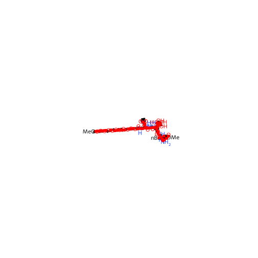 CCCCc1nc2c(N)nc3cc(C(=O)OC)ccc3c2n1CCNC(=O)OCc1ccc(O[C@H]2O[C@H](CO)[C@@H](O)[C@H](O)[C@@H]2O)c(NC(=O)CCNC(=O)[C@H](CCCCNC(=O)CCOCCOCCOCCOCCOCCOCCOCCOCCOCCOCCOCCOC)NC(=O)CCN2C(=O)C=CC2=O)c1